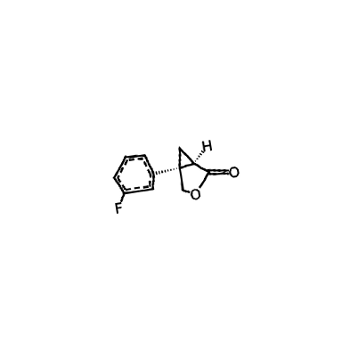 O=C1OC[C@@]2(c3cccc(F)c3)C[C@@H]12